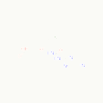 N#Cc1cnc(NC(=O)Nc2cc(Cl)ccc2OCC2CC2C(=O)O)cn1